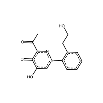 CC(=O)c1nn(-c2ccccc2CCO)cc(O)c1=O